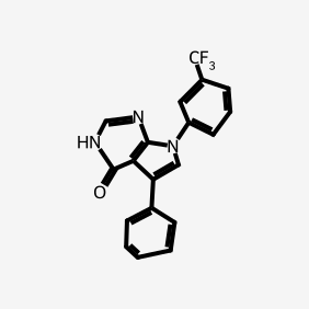 O=c1[nH]cnc2c1c(-c1ccccc1)cn2-c1cccc(C(F)(F)F)c1